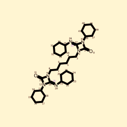 O=C1N(CCCCCCN2C(=O)N(C3CCCCC3)/C2=N/C2CCCCC2)/C(=N\C2CCCCC2)N1C1CCCCC1